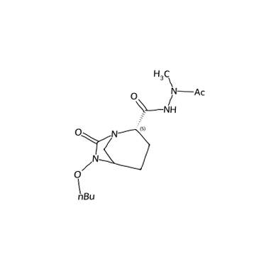 CCCCON1C(=O)N2CC1CC[C@H]2C(=O)NN(C)C(C)=O